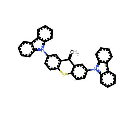 C=C1c2cc(-n3c4ccccc4c4ccccc43)ccc2Sc2ccc(-n3c4ccccc4c4ccccc43)cc21